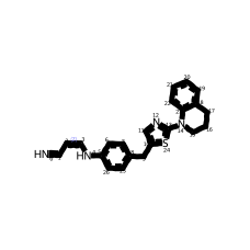 N=C/C=C\Nc1ccc(Cc2cnc(N3CCCc4ccccc43)s2)cc1